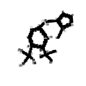 Cn1nccc1Nc1ncc(C(F)(F)F)c(C(C)(C)C)n1